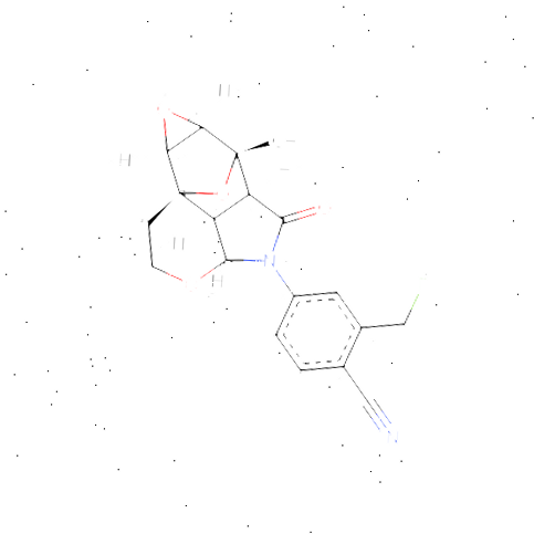 C[C@]12O[C@@]3(CCO[C@H]4[C@@H]3[C@@H]1C(=O)N4c1ccc(C#N)c(CF)c1)[C@H]1O[C@H]12